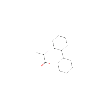 C1CCC(C2CCCCC2)CC1.CC(P)C(=O)O